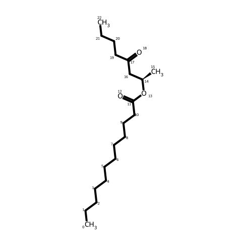 CCCCCCCCCCCC(=O)O[C@H](C)CC(=O)CCCC